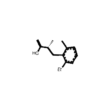 C=C(O)[C@H](C)Cc1c(C)cccc1CC